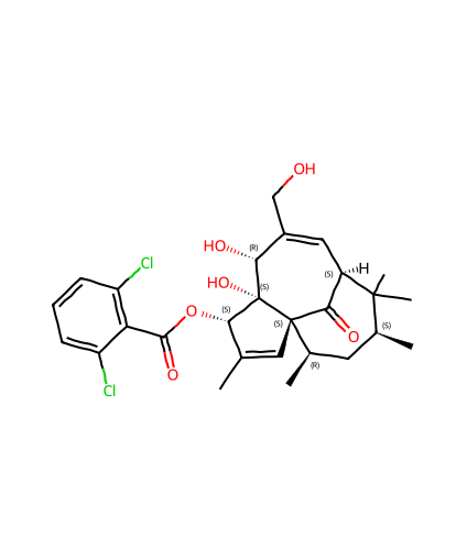 CC1=C[C@]23C(=O)[C@@H](C=C(CO)[C@@H](O)[C@]2(O)[C@H]1OC(=O)c1c(Cl)cccc1Cl)C(C)(C)[C@@H](C)C[C@H]3C